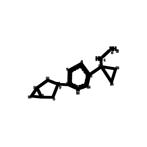 NNC1(c2ccc(N3CC4CC4C3)nc2)CC1